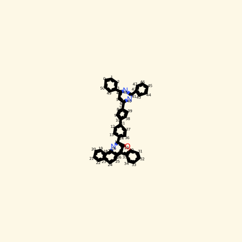 c1ccc(-c2cc(-c3ccc(-c4ccc(-c5nc6c7ccccc7ccc6c6c5oc5ccccc56)cc4)cc3)nc(-c3ccccc3)n2)cc1